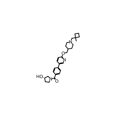 CC1(CN2CCC(COc3ccc(-c4ccc(C(=O)N5CC[C@H](O)C5)cc4)cn3)CC2)CCC1